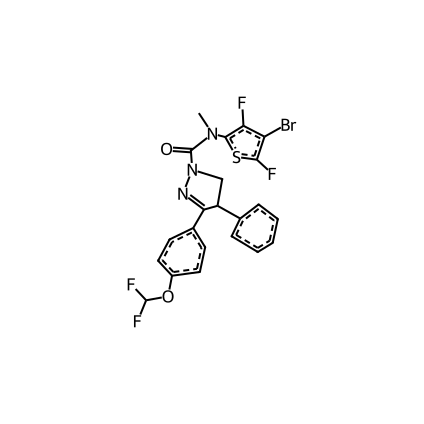 CN(C(=O)N1CC(c2ccccc2)C(c2ccc(OC(F)F)cc2)=N1)c1sc(F)c(Br)c1F